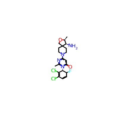 Cc1nc(N2CCC3(CC2)CO[C@@H](C)[C@H]3N)cc(=O)n1[C@H]1C(Cl)=C(Cl)C=CC1F